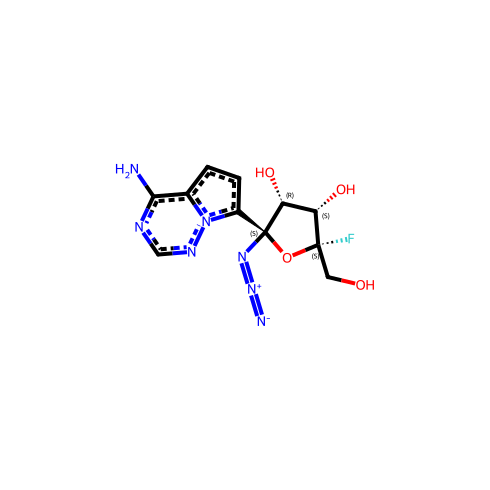 [N-]=[N+]=N[C@@]1(c2ccc3c(N)ncnn23)O[C@](F)(CO)[C@@H](O)[C@H]1O